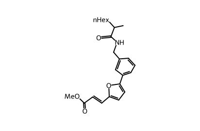 CCCCCCC(C)C(=O)NCc1cccc(-c2ccc(C=CC(=O)OC)o2)c1